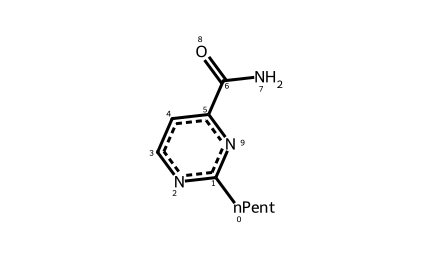 CCCCCc1nccc(C(N)=O)n1